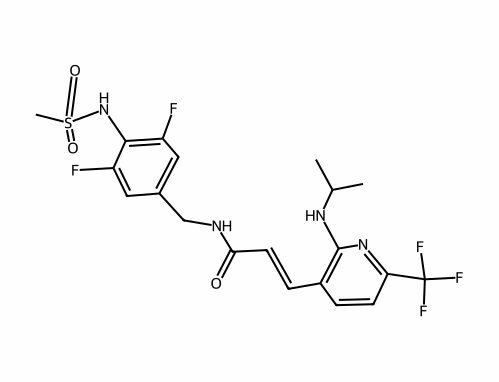 CC(C)Nc1nc(C(F)(F)F)ccc1C=CC(=O)NCc1cc(F)c(NS(C)(=O)=O)c(F)c1